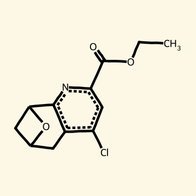 CCOC(=O)c1cc(Cl)c2c(n1)C1CC(C2)O1